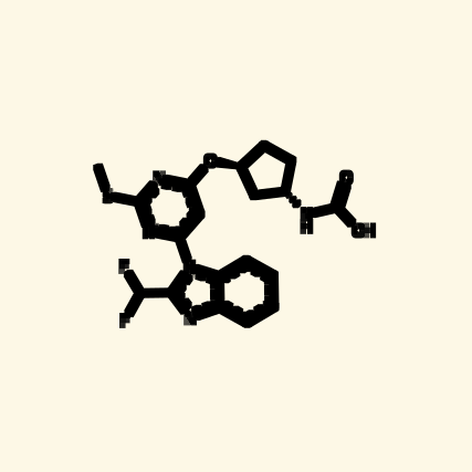 CSc1nc(O[C@H]2CC[C@H](NC(=O)O)C2)cc(-n2c(C(F)F)nc3ccccc32)n1